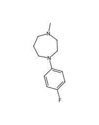 CN1CCCN(c2ccc(F)cc2)CC1